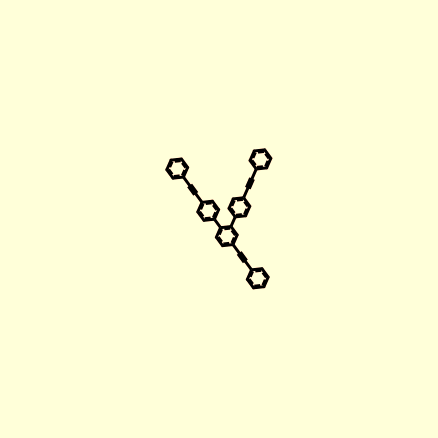 C(#Cc1ccc(-c2ccc(C#Cc3ccccc3)cc2-c2ccc(C#Cc3ccccc3)cc2)cc1)c1ccccc1